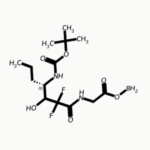 BOC(=O)CNC(=O)C(F)(F)C(O)[C@H](CCC)NC(=O)OC(C)(C)C